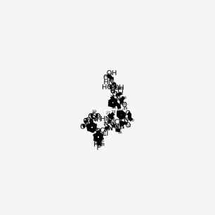 CC1COc2ccccc2N1C(=O)C(Cl)Cl.CCNc1nc(Cl)nc(NC(C)(C)C)n1.CCc1cccc(C)c1N(C(=O)CCl)C(C)COC.CS(=O)(=O)NC(=O)c1cc(Oc2ccc(C(F)(F)F)cc2Cl)ccc1[N+](=O)[O-].O=C(O)CNCP(=O)(O)O